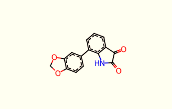 O=C1Nc2c(cccc2-c2ccc3c(c2)OCO3)C1=O